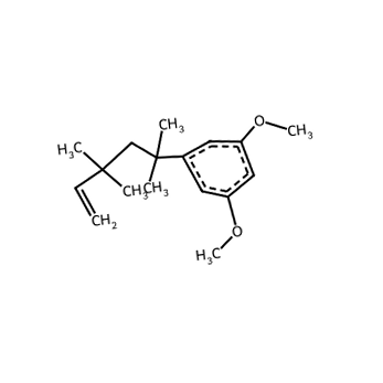 C=CC(C)(C)CC(C)(C)c1cc(OC)cc(OC)c1